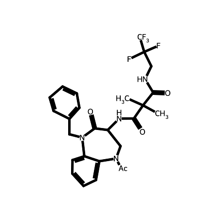 CC(=O)N1CC(NC(=O)C(C)(C)C(=O)NCC(F)(F)C(F)(F)F)C(=O)N(Cc2ccccc2)c2ccccc21